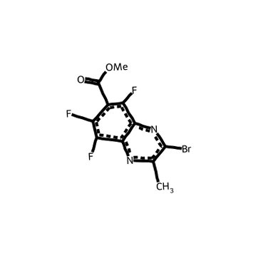 COC(=O)c1c(F)c(F)c2nc(C)c(Br)nc2c1F